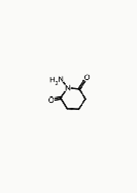 NN1C(=O)CCCC1=O